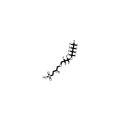 O=S(=O)(O)CC[C@H](F)COCC(F)(F)C(F)(F)OC(F)(F)C(F)(F)C(F)(F)C(F)(F)F